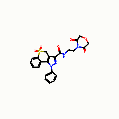 O=C(NCCN1C(=O)COCC1=O)c1nn(-c2ccccc2)c2c1CS(=O)(=O)c1ccccc1-2